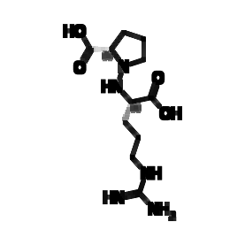 N=C(N)NCCC[C@H](NN1CCC[C@H]1C(=O)O)C(=O)O